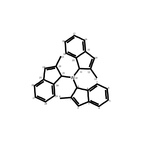 CC1=Cc2ccccc2[CH]1[Al]([CH]1C(C)=Cc2ccccc21)[CH]1C(C)=Cc2ccccc21